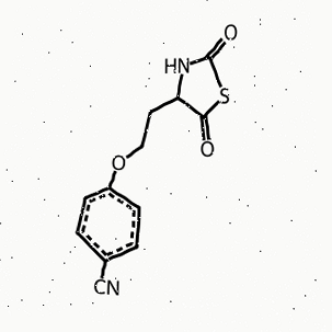 N#Cc1ccc(OCCC2NC(=O)SC2=O)cc1